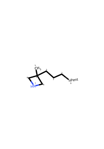 CCCCCCCCC1(C)CNC1